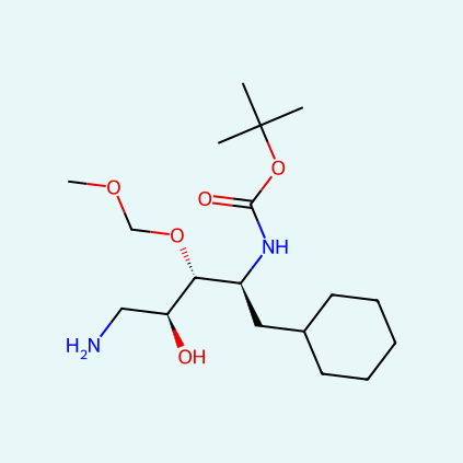 COCO[C@H]([C@H](CC1CCCCC1)NC(=O)OC(C)(C)C)[C@@H](O)CN